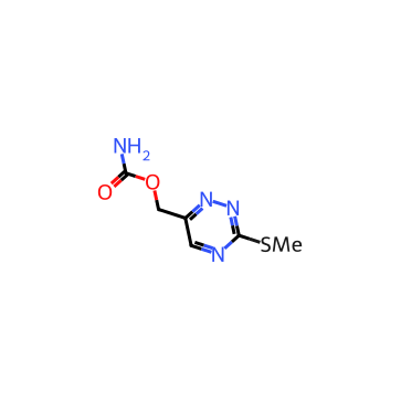 CSc1ncc(COC(N)=O)nn1